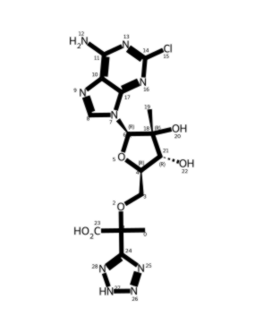 CC(OC[C@H]1O[C@@H](n2cnc3c(N)nc(Cl)nc32)[C@](C)(O)[C@@H]1O)(C(=O)O)c1nn[nH]n1